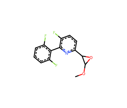 COC1OC1c1ccc(F)c(-c2c(F)cccc2F)n1